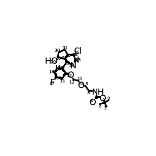 CC(C)(C)OC(=O)NCCOCCOc1cc(F)ccc1-c1nnc(Cl)c2c1C(O)CC2